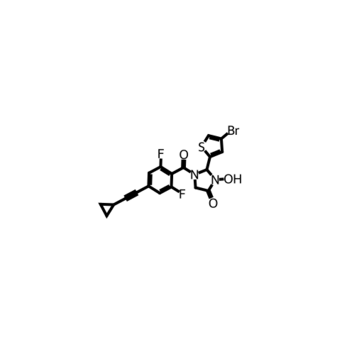 O=C1CN(C(=O)c2c(F)cc(C#CC3CC3)cc2F)C(c2cc(Br)cs2)N1O